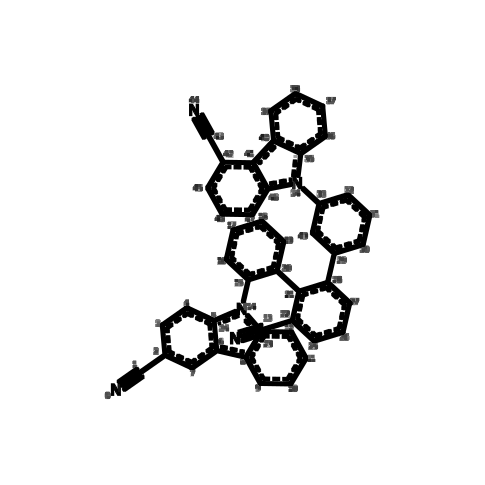 N#Cc1ccc2c(c1)c1ccccc1n2-c1ccccc1-c1c(C#N)cccc1-c1cccc(-n2c3ccccc3c3c(C#N)cccc32)c1